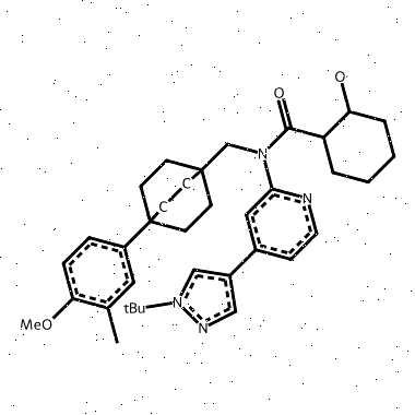 COc1ccc(C23CCC(CN(C(=O)C4CCCCC4[O])c4cc(-c5cnn(C(C)(C)C)c5)ccn4)(CC2)CC3)cc1C